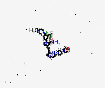 CN1CCN(Cc2ccc(-c3ncc(C#Cc4cnc5ccc(N6CCC(N7CCOCC7)CC6)nn45)cc3C(N)=O)cc2C(F)(F)F)CC1